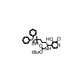 CC(C)(C)OC(=O)N[C@@H](CCCC(C)(C)[Si](O)(c1ccccc1)c1ccccc1)c1ccnc(Cl)c1O